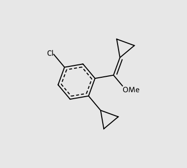 COC(=C1CC1)c1cc(Cl)ccc1C1CC1